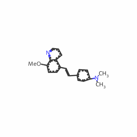 COc1ccc(/C=C/c2ccc(N(C)C)cc2)c2cccnc12